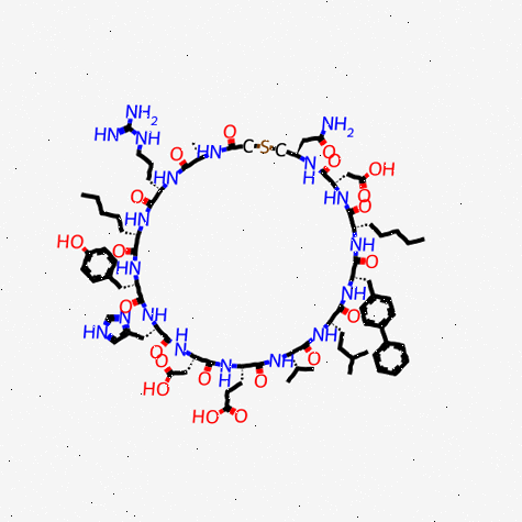 CCCCC[C@@H]1NC(=O)[C@H](CCCNC(=N)N)NC(=O)[C@H](C)NC(=O)CSC[C@@H](CC(N)=O)NC(=O)[C@H](CC(=O)O)NC(=O)[C@H](CCCCC)NC(=O)[C@H](Cc2ccc(-c3ccccc3)cc2)NC(=O)[C@H](CCC(C)C)NC(=O)[C@H](C(C)C)NC(=O)[C@H](CCC(=O)O)NC(=O)[C@H](CC(=O)O)NC(=O)[C@H](Cc2c[nH]cn2)NC(=O)[C@H](Cc2ccc(O)cc2)NC1=O